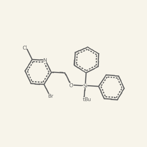 CC(C)(C)[Si](OCc1nc(Cl)ccc1Br)(c1ccccc1)c1ccccc1